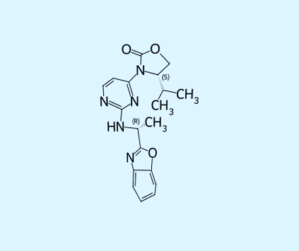 CC(C)[C@H]1COC(=O)N1c1ccnc(N[C@H](C)c2nc3ccccc3o2)n1